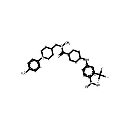 Cc1ccc(N2CCC(CN(C)C(=O)C3CCC(Nc4ccc(N(O)O)c(C(F)(F)F)c4)CC3)CC2)cc1